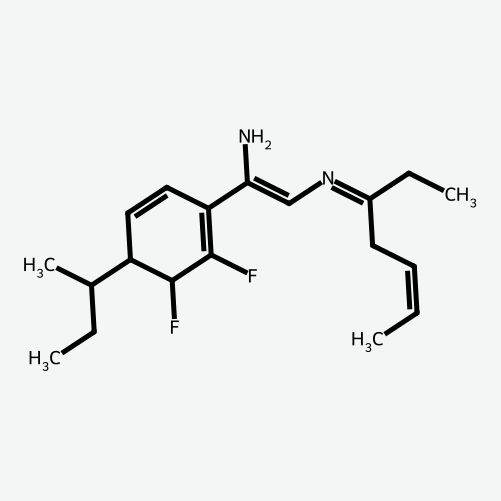 C/C=C\C/C(CC)=N\C=C(/N)C1=C(F)C(F)C(C(C)CC)C=C1